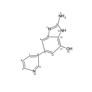 Nc1nc2cc(-c3cccnc3)cc(O)c2[nH]1